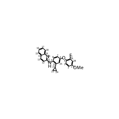 COc1ccc(Oc2ccc(Nc3ccc4ccccc4n3)c(C3CC3)c2)c(F)c1